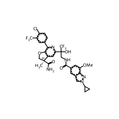 COc1cc(C(=O)NCC(O)(c2cc3c(c(-c4ccc(Cl)c(C(F)(F)F)c4)n2)OC[C@]3(C)C(N)=O)C(F)(F)F)cc2cn(C3CC3)nc12